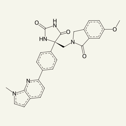 COc1ccc2c(c1)C(=O)N(C[C@@]1(c3ccc(-c4ccc5ccn(C)c5n4)cc3)NC(=O)NC1=O)C2